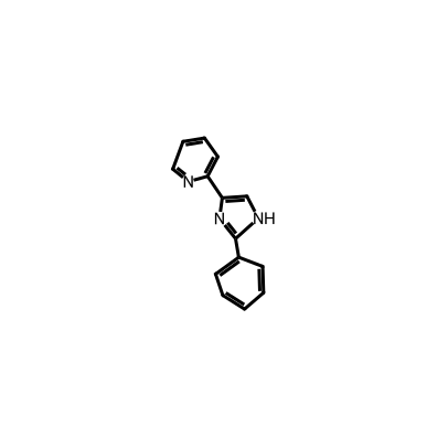 c1ccc(-c2nc(-c3ccccn3)c[nH]2)cc1